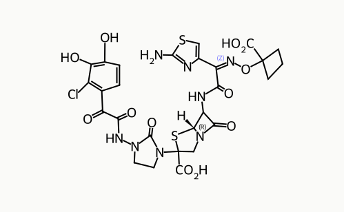 Nc1nc(/C(=N/OC2(C(=O)O)CCC2)C(=O)NC2C(=O)N3CC(C(=O)O)(N4CCN(NC(=O)C(=O)c5ccc(O)c(O)c5Cl)C4=O)S[C@H]23)cs1